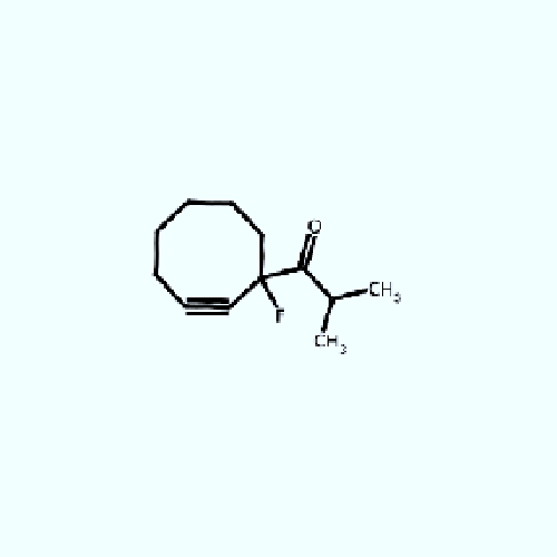 CC(C)C(=O)C1(F)C#CCCCCC1